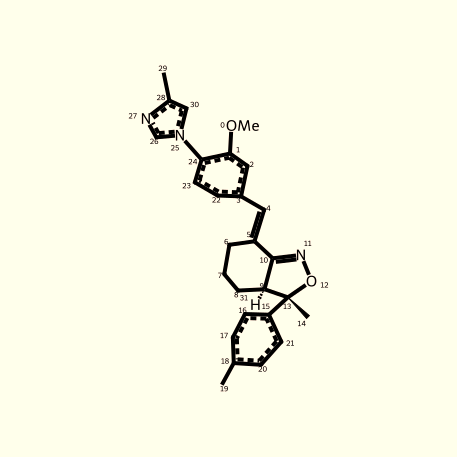 COc1cc(/C=C2\CCC[C@H]3C2=NO[C@]3(C)c2ccc(C)cc2)ccc1-n1cnc(C)c1